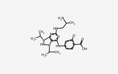 CC(N)CNc1nc(Nc2ccc(C(=O)O)c(Cl)c2)c2c(n1)N(C(C)C)NN2C(C)C